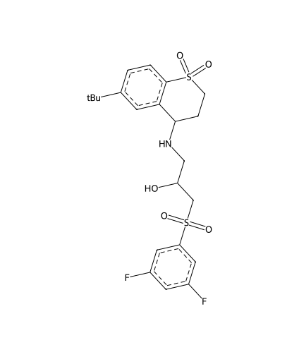 CC(C)(C)c1ccc2c(c1)C(NCC(O)CS(=O)(=O)c1cc(F)cc(F)c1)CCS2(=O)=O